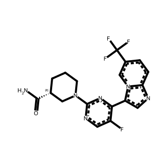 NC(=O)[C@@H]1CCCN(c2ncc(F)c(-c3cnc4ccc(C(F)(F)F)cn34)n2)C1